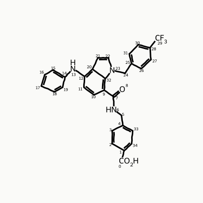 O=C(O)c1ccc(CNC(=O)c2ccc(Nc3ccccc3)c3ccn(Cc4ccc(C(F)(F)F)cc4)c23)cc1